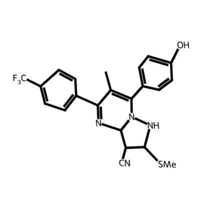 CSC1NN2C(c3ccc(O)cc3)=C(C)C(c3ccc(C(F)(F)F)cc3)=NC2C1C#N